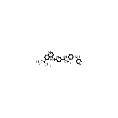 C=C(C)c1ccc2nccc(Nc3ccc(C(=C)Nc4ccc(Nc5ccncc5)cc4)cn3)c2c1